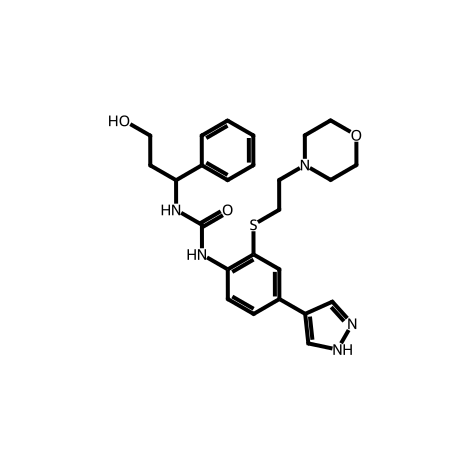 O=C(Nc1ccc(-c2cn[nH]c2)cc1SCCN1CCOCC1)NC(CCO)c1ccccc1